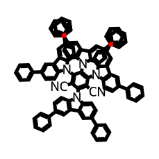 N#Cc1c(-n2c3ccc(-c4ccccc4)cc3c3cc(-c4ccccc4)ccc32)c(C#N)c(-n2c3ccc(-c4ccccc4)cc3c3cc(-c4ccccc4)ccc32)c(-n2c3ccc(-c4ccccc4)cc3c3cc(-c4ccccc4)ccc32)c1-n1c2ccc(-c3ccccc3)cc2c2cc(-c3ccccc3)ccc21